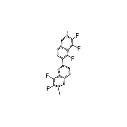 Cc1cc2ccc(-c3ccc4cc(C)c(F)c(F)c4c3F)cc2c(F)c1F